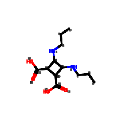 CCCNC1C(NCCC)C(C(=O)O)C1C(=O)O